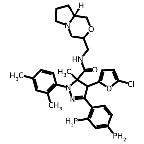 Cc1ccc(N2N=C(c3ccc(P)cc3P)C(c3ccc(Cl)o3)C2(C)C(=O)NCC2CN3CCC[C@@H]3CO2)c(C)c1